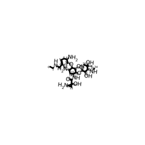 CCNCC1=CC[C@@H](N)[C@@H](OC2[C@@H](N)C[C@@H](NC(=O)C3(O)CC3N)[C@H](O[C@H]3OC[C@](C)(O)[C@H](NC)[C@H]3O)[C@H]2O)O1